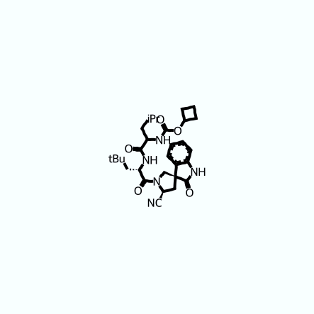 CC(C)CC(NC(=O)OC1CCC1)C(=O)N[C@@H](CC(C)(C)C)C(=O)N1C[C@]2(C[C@H]1C#N)C(=O)Nc1ccccc12